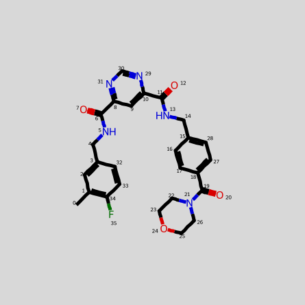 Cc1cc(CNC(=O)c2cc(C(=O)NCc3ccc(C(=O)N4CCOCC4)cc3)ncn2)ccc1F